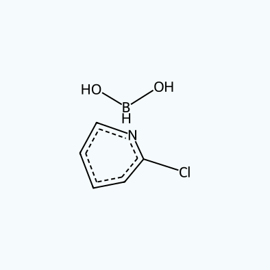 Clc1ccccn1.OBO